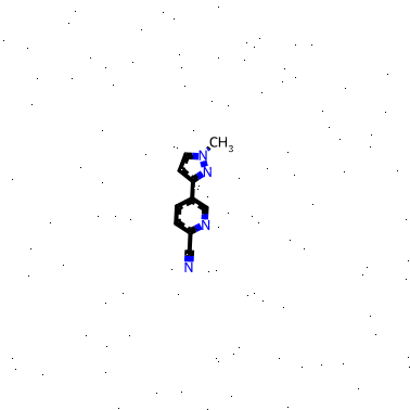 Cn1ccc(-c2ccc(C#N)nc2)n1